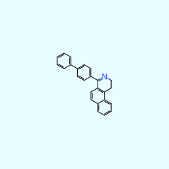 c1ccc(-c2ccc(C3=NCCc4c3ccc3ccccc43)cc2)cc1